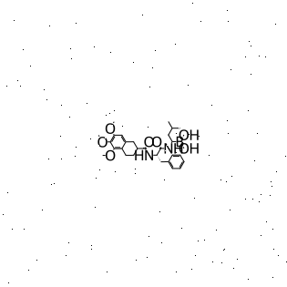 COc1cc2c(c(OC)c1OC)CCC(C(=O)N[C@@H](Cc1ccccc1)C(=O)NC(CC(C)C)B(O)O)C2